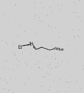 CCN=CCCNC